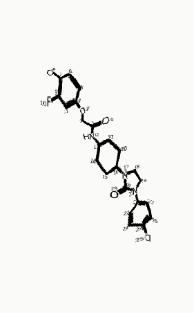 O=C(COc1ccc(Cl)c(F)c1)NC1CCC(N2CCN(c3ccc(Cl)cc3)C2=O)CC1